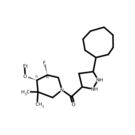 CCO[C@@H]1[C@H](F)CN(C(=O)C2CC(C3CCCCCCC3)NN2)CC1(C)C